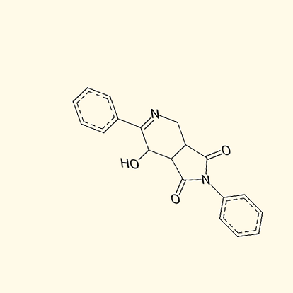 O=C1C2CN=C(c3ccccc3)C(O)C2C(=O)N1c1ccccc1